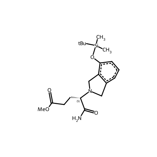 COC(=O)CC[C@@H](C(N)=O)N1Cc2cccc(O[Si](C)(C)C(C)(C)C)c2C1